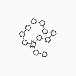 c1ccc(-c2cccc(-c3cccc(-c4ccc(-c5cccc(-c6cccc(-c7nc(-c8cccc(-c9ccccc9)c8)cc(-c8cccc(-c9cccc(-c%10ccccc%10)c9)c8)n7)c6)c5)cc4)c3)c2)cc1